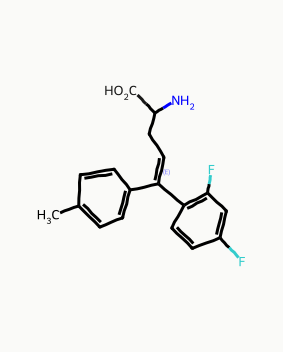 Cc1ccc(/C(=C\CC(N)C(=O)O)c2ccc(F)cc2F)cc1